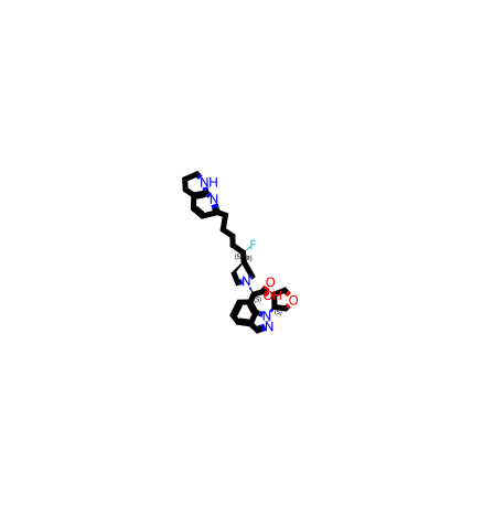 O=C(O)[C@H](c1cccc2cnn([C@H]3CCOC3)c12)N1CC[C@@H]([C@@H](F)CCCCc2ccc3c(n2)NCCC3)C1